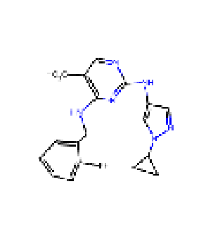 CCc1ccccc1CNc1nc(Nc2cnn(C3CC3)c2)ncc1C(=O)O